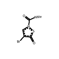 CNC(=O)n1cc(Br)c(=O)s1